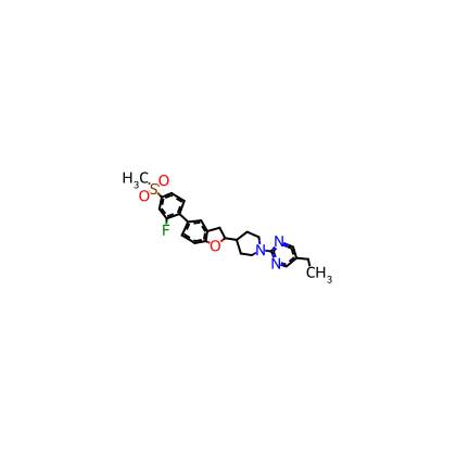 CCc1cnc(N2CCC(C3Cc4cc(-c5ccc(S(C)(=O)=O)cc5F)ccc4O3)CC2)nc1